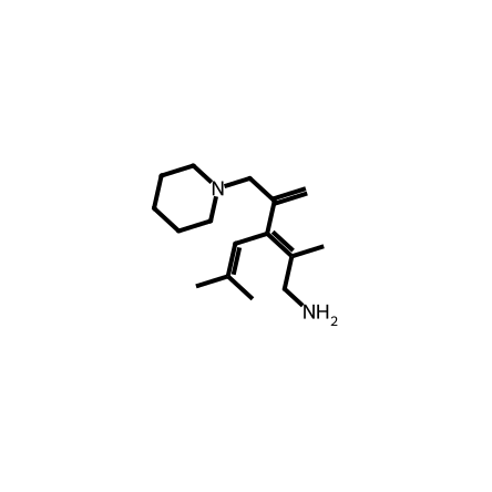 C=C(CN1CCCCC1)/C(C=C(C)C)=C(\C)CN